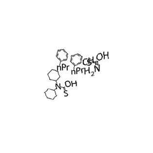 C.CCCc1ccccc1.CCCc1ccccc1.NC(O)=S.OC(=S)N(C1CCCCC1)C1CCCCC1